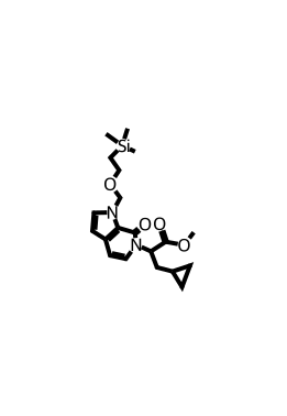 COC(=O)C(CC1CC1)n1ccc2ccn(COCC[Si](C)(C)C)c2c1=O